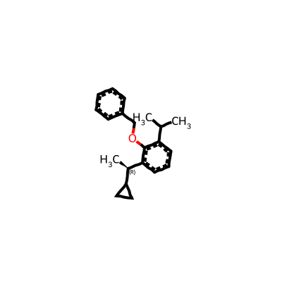 CC(C)c1cccc([C@H](C)C2CC2)c1OCc1ccccc1